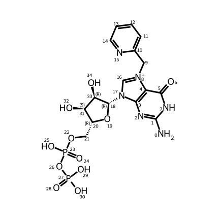 Nc1nc2c(c(=O)[nH]1)[n+](Cc1ccccn1)cn2[C@@H]1O[C@H](COP(=O)(O)OP(=O)(O)O)[C@@H](O)[C@H]1O